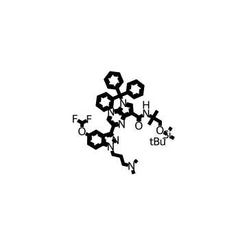 CN(C)CCCn1nc(-c2cnc3c(n2)c(C(=O)NC(C)(C)CO[Si](C)(C)C(C)(C)C)cn3C(c2ccccc2)(c2ccccc2)c2ccccc2)c2cc(OC(F)F)ccc21